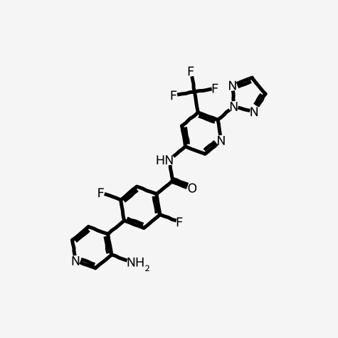 Nc1cnccc1-c1cc(F)c(C(=O)Nc2cnc(-n3nccn3)c(C(F)(F)F)c2)cc1F